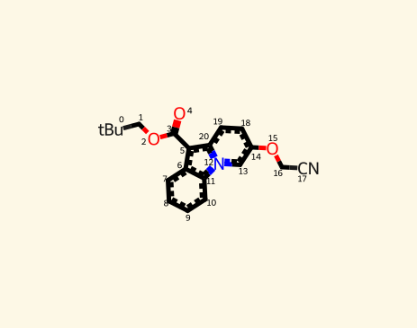 CC(C)(C)COC(=O)c1c2ccccc2n2cc(OCC#N)ccc12